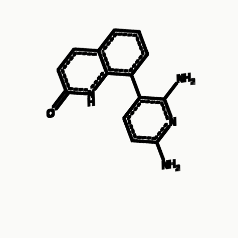 Nc1ccc(-c2cccc3ccc(=O)[nH]c23)c(N)n1